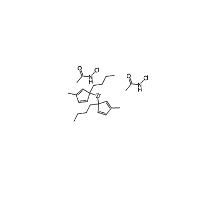 CC(=O)NCl.CC(=O)NCl.CCCC[C]1([Zr][C]2(CCCC)C=CC(C)=C2)C=CC(C)=C1